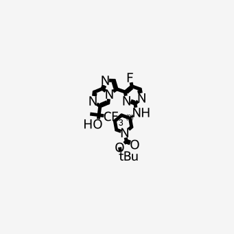 CC(C)(C)OC(=O)N1CCC[C@@H](Nc2ncc(F)c(-c3cnc4cnc(C(C)(O)C(F)(F)F)cn34)n2)C1